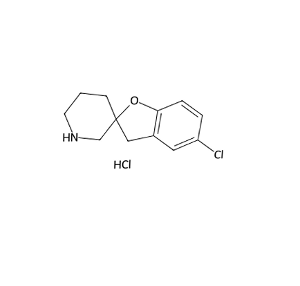 Cl.Clc1ccc2c(c1)CC1(CCCNC1)O2